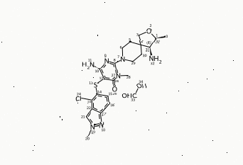 C[C@@H]1OCC2(CCN(c3nc(N)c(Sc4ccc5nn(C)cc5c4Cl)c(=O)n3C)CC2)[C@@H]1N.O=CO